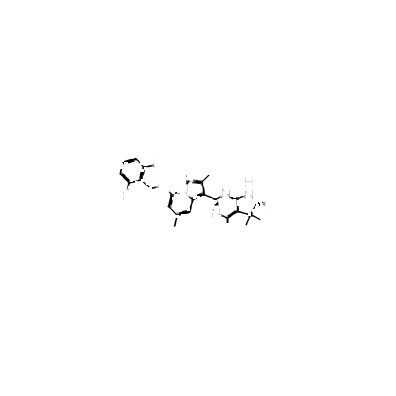 Cc1cc(OCc2c(F)cccc2F)n2nc(C)c(-c3nc(I)c4c(n3)NC(=O)C4(C)C)c2c1